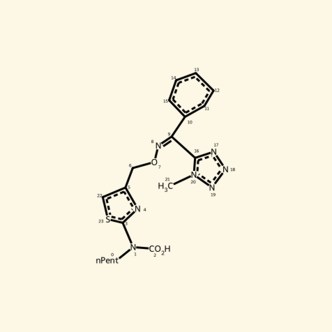 CCCCCN(C(=O)O)c1nc(CO/N=C(/c2ccccc2)c2nnnn2C)cs1